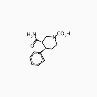 NC(=O)[C@H]1CN(C(=O)O)CC[C@H]1c1ccccc1